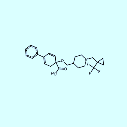 O=C(O)C1(OCC2CCN(CC3(C(F)(F)F)CC3)CC2)C=CC(c2ccccc2)=CC1